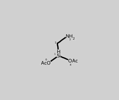 CC(=O)O[SiH](CN)OC(C)=O